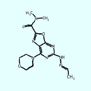 C/C=N/Nc1nc(N2CCOCC2)c2nc(C(=O)N(C)C)oc2n1